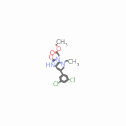 CCOC(=O)Cn1c2c([nH]c1=O)C=C(c1cc(Cl)cc(Cl)c1)CN2CC